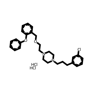 Cl.Cl.Clc1cccc(CCCN2CCN(CCOCc3ccccc3Oc3ccccc3)CC2)c1